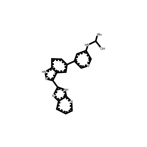 CC(C)(C)C(O)Nc1cncc(-c2ccc3[nH]nc(-c4nc5cccnc5[nH]4)c3c2)c1